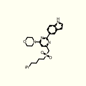 CC(C)CCCCS(=O)(=O)Cc1cc(N2CCOCC2)nc(-c2ccc3[nH]ccc3c2)n1